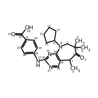 CC1C(=O)C(C)(C)CN(C2CCCC2)c2nc(Nc3ccc(C(=O)O)cc3)ncc21